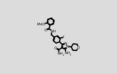 COc1ccccc1C(=O)NCC1=CCC(c2nn(C3CCOCC3)c(N)c2C(N)=O)C(F)=C1